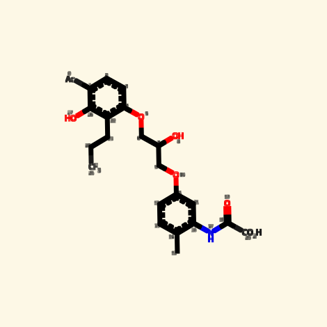 CC(=O)c1ccc(OCC(O)COc2ccc(C)c(NC(=O)C(=O)O)c2)c(CCC(F)(F)F)c1O